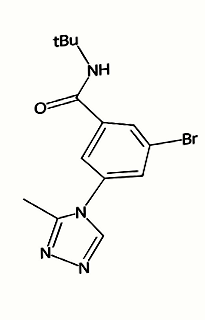 Cc1nncn1-c1cc(Br)cc(C(=O)NC(C)(C)C)c1